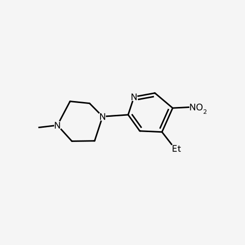 CCc1cc(N2CCN(C)CC2)ncc1[N+](=O)[O-]